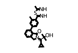 CC(=N)SC(=N)c1ccc(-c2cccc3c2C(=O)N([C@H](C2CC2)C(C)(C)O)C3)cc1C